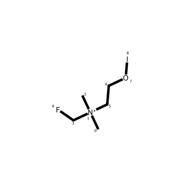 C[N+](C)(CF)CCOI